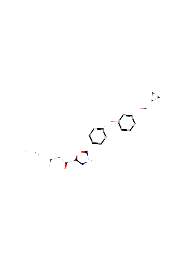 CC(=O)NC(C)CC(=O)c1cnc(-c2ccc(Oc3cccc(OCC4CC4)c3)cc2)o1